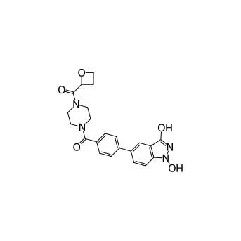 O=C(c1ccc(-c2ccc3c(c2)c(O)nn3O)cc1)N1CCN(C(=O)C2CCO2)CC1